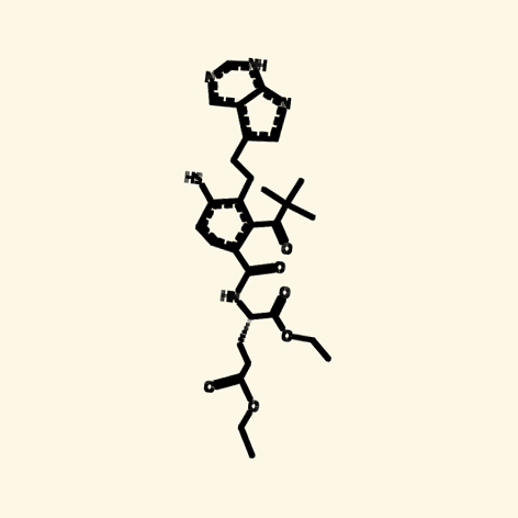 CCOC(=O)CC[C@H](NC(=O)c1ccc(S)c(CCc2cnc3[nH]cncc2-3)c1C(=O)C(C)(C)C)C(=O)OCC